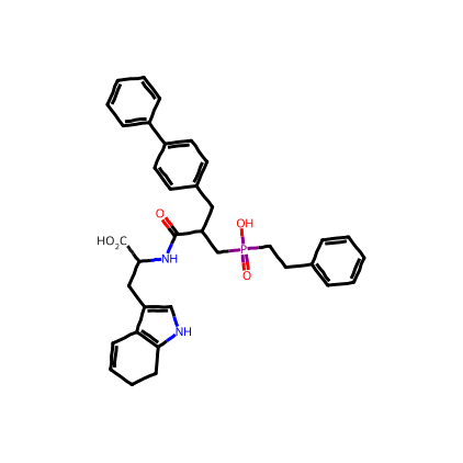 O=C(NC(Cc1c[nH]c2c1C=CCC2)C(=O)O)C(Cc1ccc(-c2ccccc2)cc1)CP(=O)(O)CCc1ccccc1